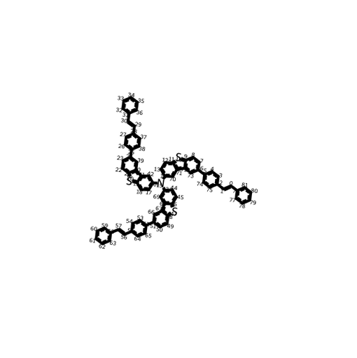 C(=C\c1ccc(-c2ccc3sc4ccc(N(c5ccc6sc7ccc(-c8ccc(/C=C/c9ccccc9)cc8)cc7c6c5)c5ccc6sc7ccc(-c8ccc(/C=C/c9ccccc9)cc8)cc7c6c5)cc4c3c2)cc1)/c1ccccc1